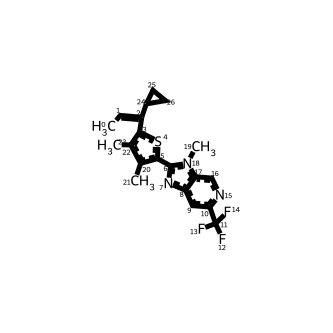 C/C=C(\c1sc(-c2nc3cc(C(F)(F)F)ncc3n2C)c(C)c1C)C1CC1